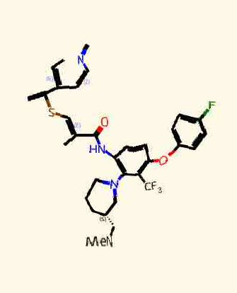 C=N/C=C\C(=C/C)C(=C)S/C=C(\C)C(=O)Nc1ccc(Oc2ccc(F)cc2)c(C(F)(F)F)c1N1CCC[C@@H](CNC)C1